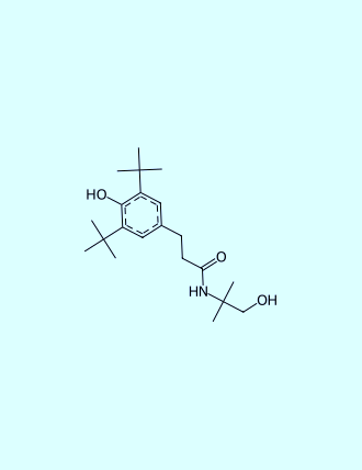 CC(C)(CO)NC(=O)CCc1cc(C(C)(C)C)c(O)c(C(C)(C)C)c1